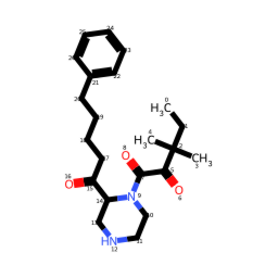 CCC(C)(C)C(=O)C(=O)N1CCNCC1C(=O)CCCCc1ccccc1